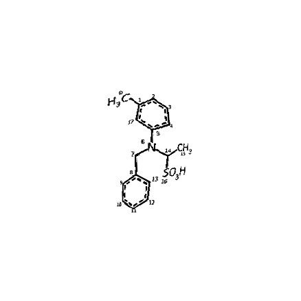 Cc1cccc(N(Cc2ccccc2)C(C)S(=O)(=O)O)c1